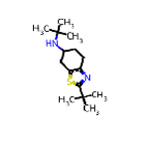 CC(C)(C)NC1CCc2nc(C(C)(C)C)sc2C1